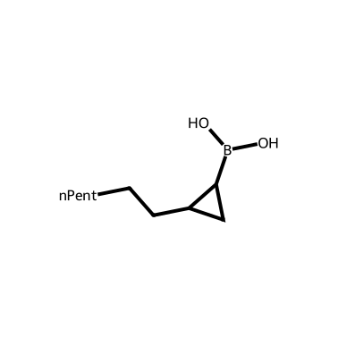 CCCCCCCC1CC1B(O)O